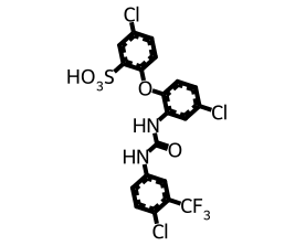 O=C(Nc1ccc(Cl)c(C(F)(F)F)c1)Nc1cc(Cl)ccc1Oc1ccc(Cl)cc1S(=O)(=O)O